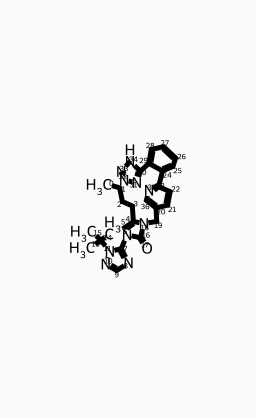 CCCCc1cn(-c2ncnn2C(C)(C)C)c(=O)n1Cc1ccc(-c2ccccc2-c2nnn[nH]2)nc1